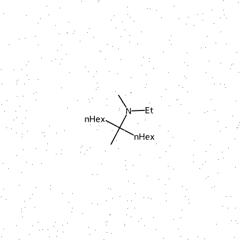 CCCCCCC(C)(CCCCCC)N(C)CC